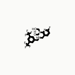 OCN(CO)c1nc(F)ccc1CNCc1cc(C(F)(F)F)cc(C(F)(F)F)c1